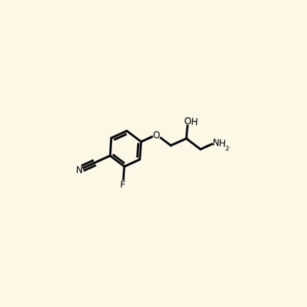 N#Cc1ccc(OCC(O)CN)cc1F